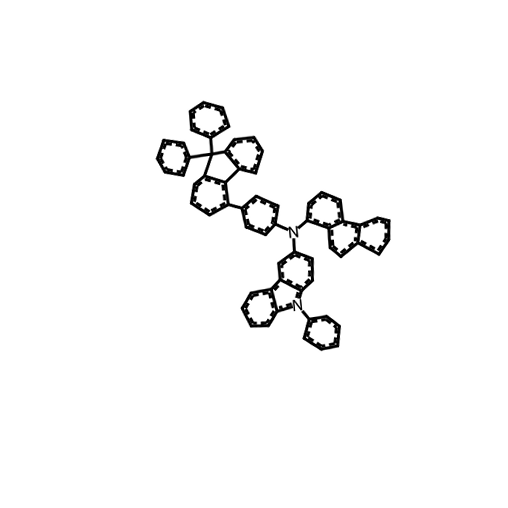 c1ccc(-n2c3ccccc3c3cc(N(c4ccc(-c5cccc6c5-c5ccccc5C6(c5ccccc5)c5ccccc5)cc4)c4cccc5c4ccc4ccccc45)ccc32)cc1